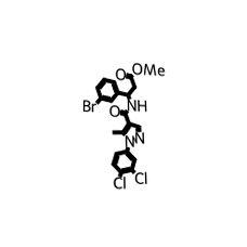 COC(=O)CC(NC(=O)c1cnn(-c2ccc(Cl)c(Cl)c2)c1C)c1cccc(Br)c1